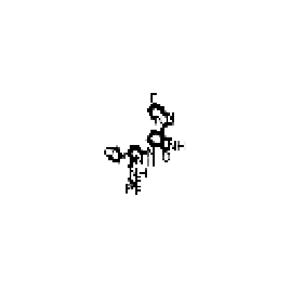 O=C1NCc2c(-c3cnc4cc(F)ccn34)ccc(Nc3ccc([C@H]4CCOC4)c(CNCC(F)(F)F)n3)c21